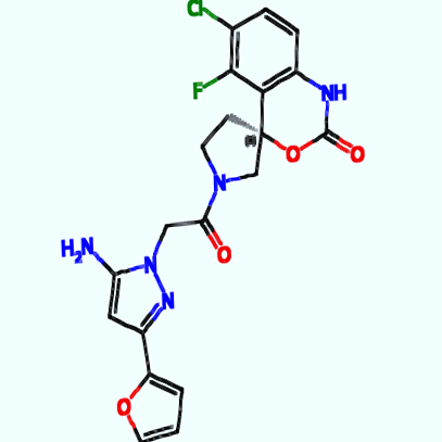 Nc1cc(-c2ccco2)nn1CC(=O)N1CC[C@@]2(C1)OC(=O)Nc1ccc(Cl)c(F)c12